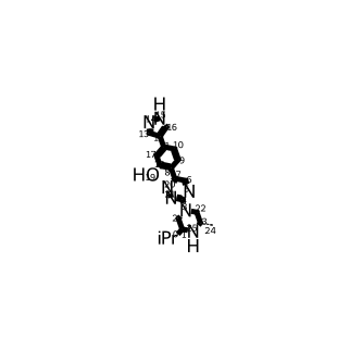 CC(C)C1CN(c2ncc(-c3ccc(-c4cn[nH]c4)cc3O)nn2)C[C@H](C)N1